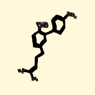 CC(C)=CCCc1ccc(C=O)c(-c2ccc([N+](=O)[O-])cc2)c1